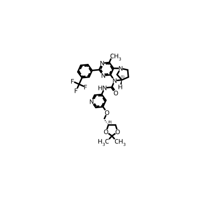 Cc1nc(-c2cccc(C(F)(F)F)c2)nc2c1N1CC[C@@H](C1)N2C(=O)Nc1cncc(OC[C@@H]2COC(C)(C)O2)c1